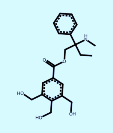 CCC(COC(=O)c1cc(CO)c(CO)c(CO)c1)(NC)c1ccccc1